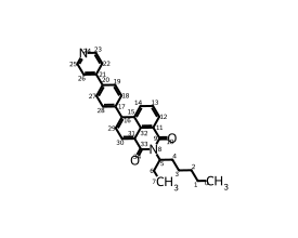 CCCCCC(CC)N1C(=O)c2cccc3c(-c4ccc(-c5ccncc5)cc4)ccc(c23)C1=O